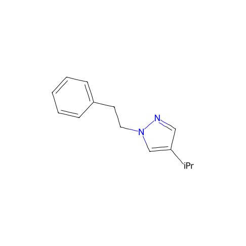 CC(C)c1cnn(CCc2ccccc2)c1